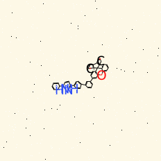 N=C(/C=C\C(=N)C1C=CC=CC1)c1ccc(-c2cccc(-c3ccc4c(c3)Oc3ccccc3C43C4=C(C=CCC4)C4=C3CCC=C4)c2)cc1